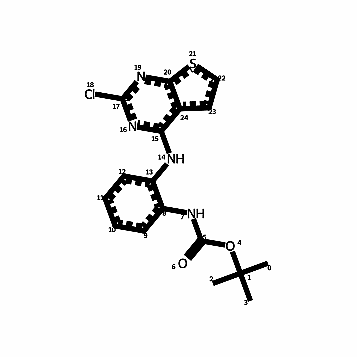 CC(C)(C)OC(=O)Nc1ccccc1Nc1nc(Cl)nc2sccc12